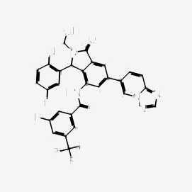 O=C(Nc1cc(-c2ccc3ncnn3c2)cc2c1C(c1cc(F)ccc1Cl)N(CO)C2=O)c1cc(F)cc(C(F)(F)F)c1